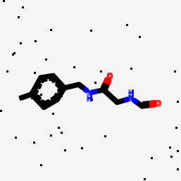 Cc1ccc(CNC(=O)CNC=O)cc1